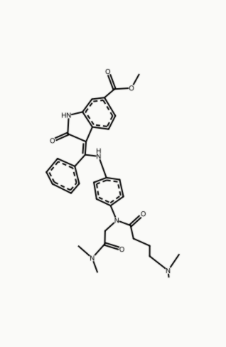 COC(=O)c1ccc2c(c1)NC(=O)C2=C(Nc1ccc(N(CC(=O)N(C)C)C(=O)CCCN(C)C)cc1)c1ccccc1